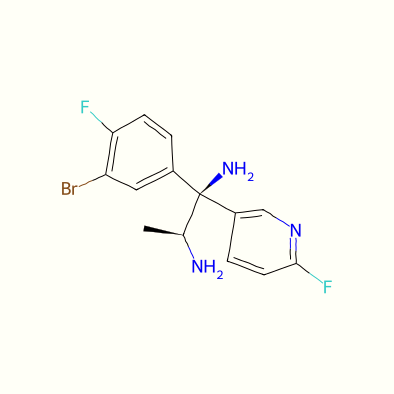 C[C@H](N)[C@@](N)(c1ccc(F)nc1)c1ccc(F)c(Br)c1